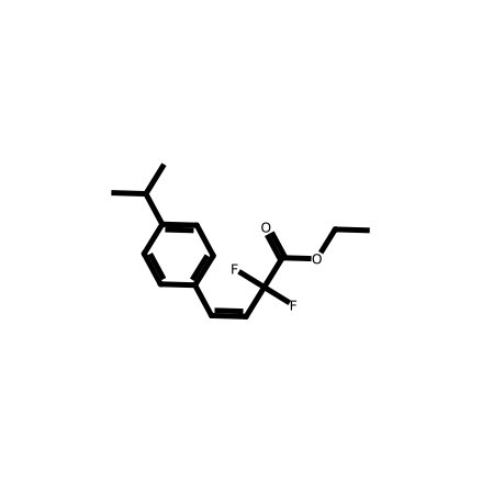 CCOC(=O)C(F)(F)/C=C\c1ccc(C(C)C)cc1